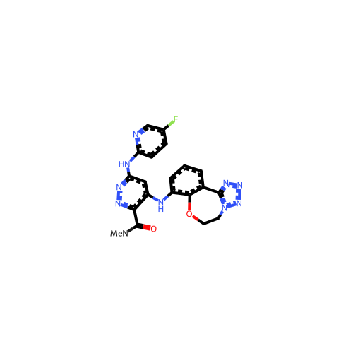 CNC(=O)c1nnc(Nc2ccc(F)cn2)cc1Nc1cccc2c1OCCn1nnnc1-2